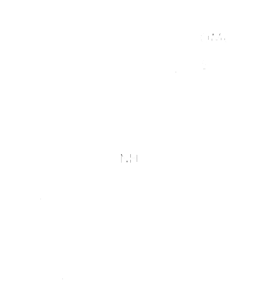 CO[Si](C)(C)CCCNCc1ccccc1